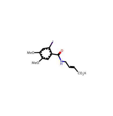 COc1cc(I)c(C(=O)NCC=CC(=O)O)cc1OC